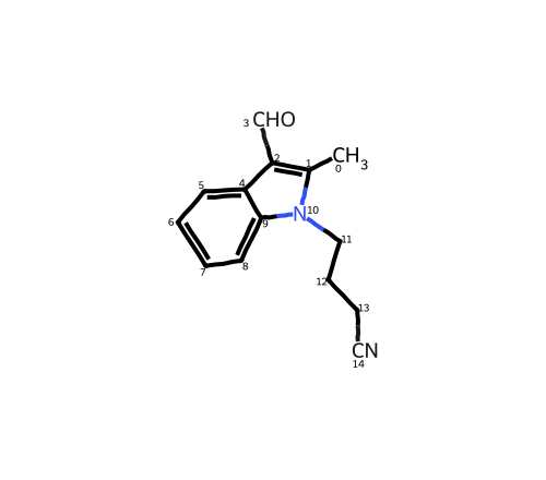 Cc1c(C=O)c2ccccc2n1CCCC#N